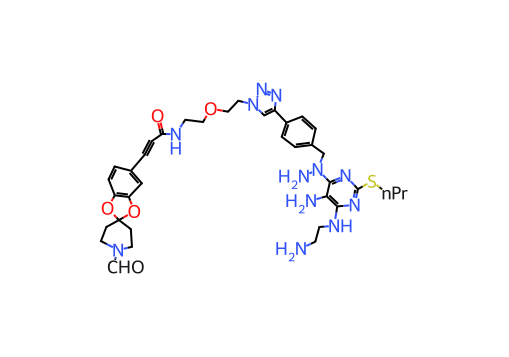 CCCSc1nc(NCCN)c(N)c(N(N)Cc2ccc(-c3cn(CCOCCNC(=O)C#Cc4ccc5c(c4)OC4(CCN(C=O)CC4)O5)nn3)cc2)n1